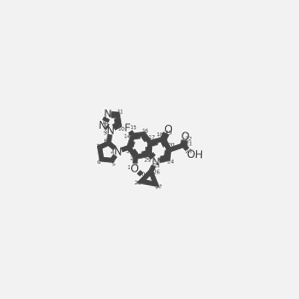 COc1c(N2CCCC2n2ccnn2)c(F)cc2c(=O)c(C(=O)O)cn(C3CC3)c12